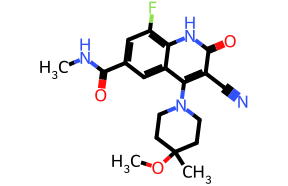 CNC(=O)c1cc(F)c2[nH]c(=O)c(C#N)c(N3CCC(C)(OC)CC3)c2c1